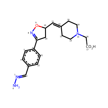 NN=Cc1ccc(C2=NOC(C=C3CCN(CC(=O)O)CC3)C2)cc1